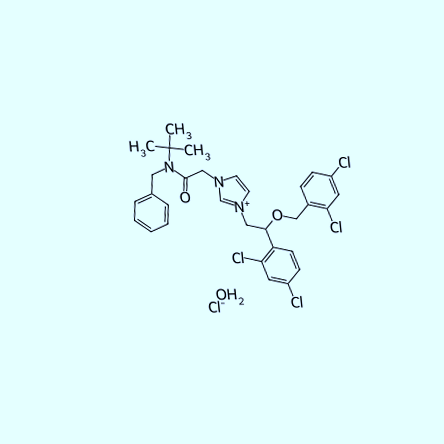 CC(C)(C)N(Cc1ccccc1)C(=O)Cn1cc[n+](CC(OCc2ccc(Cl)cc2Cl)c2ccc(Cl)cc2Cl)c1.O.[Cl-]